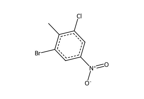 Cc1c(Cl)cc([N+](=O)[O-])cc1Br